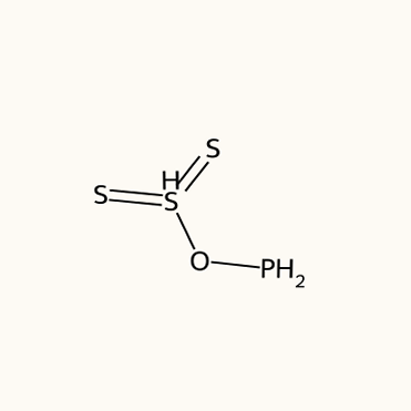 PO[SH](=S)=S